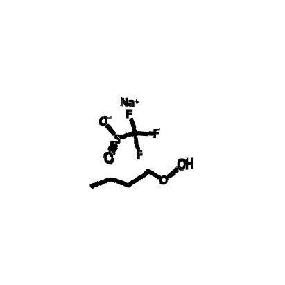 CCCCOO.O=S([O-])C(F)(F)F.[Na+]